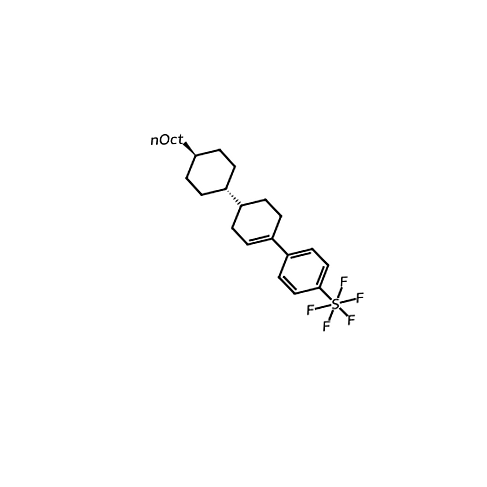 CCCCCCCC[C@H]1CC[C@H](C2CC=C(c3ccc(S(F)(F)(F)(F)F)cc3)CC2)CC1